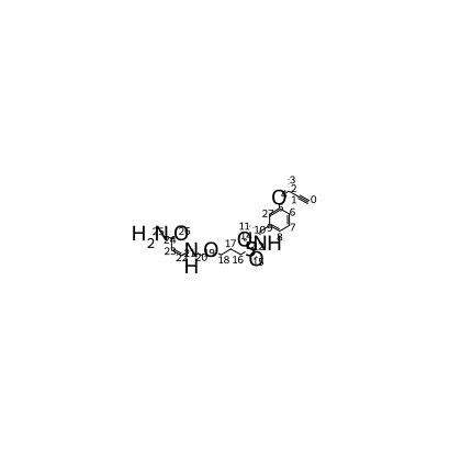 C#C[C@@H](C)Oc1cccc([C@@H](C)NS(=O)(=O)CCCOCN/C=C\C(N)=O)c1